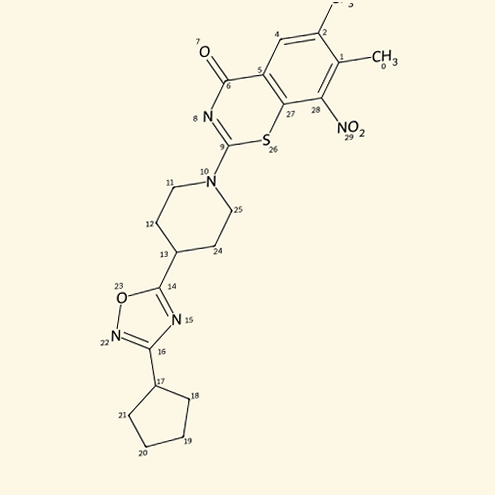 Cc1c(C(F)(F)F)cc2c(=O)nc(N3CCC(c4nc(C5CCCC5)no4)CC3)sc2c1[N+](=O)[O-]